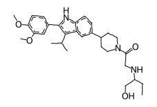 CCC(CO)NCC(=O)N1CCC(c2ccc3[nH]c(-c4ccc(OC)c(OC)c4)c(C(C)C)c3c2)CC1